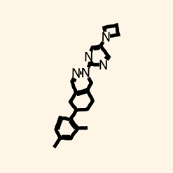 Cc1ccc(C2CCC3=C(C=NN(c4ncc(N5CCC5)cn4)C3)C2)c(C)c1